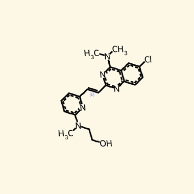 CN(C)c1nc(/C=C/c2cccc(N(C)CCO)n2)nc2ccc(Cl)cc12